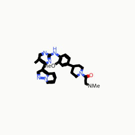 CNCC(=O)N1CCC(c2ccc(Nc3ncc(C)c(-c4cnn5ccccc45)n3)c(OC)c2)CC1